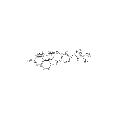 COC(OC)[C@]1(COc2ccc(CO[Si](C)(C)C(C)(C)C)nc2Cl)CCCc2cc(Cl)ccc21